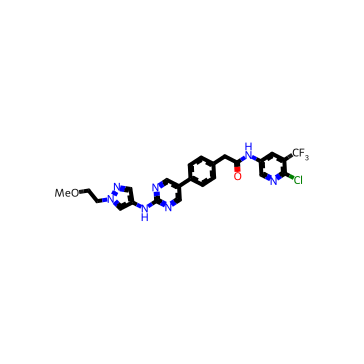 COCCn1cc(Nc2ncc(-c3ccc(CC(=O)Nc4cnc(Cl)c(C(F)(F)F)c4)cc3)cn2)cn1